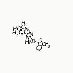 CC(C)(O)c1ncc2nc(-c3cc(C(=O)c4ccccc4C(F)(F)F)c[nH]3)[nH]c2c1F